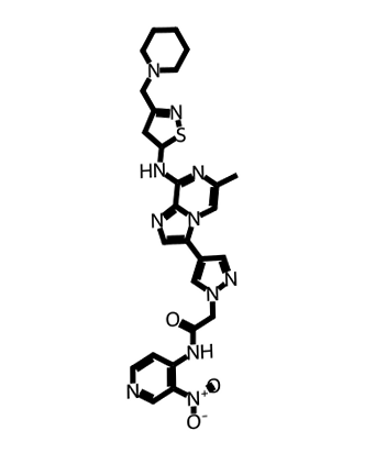 Cc1cn2c(-c3cnn(CC(=O)Nc4ccncc4[N+](=O)[O-])c3)cnc2c(NC2CC(CN3CCCCC3)=NS2)n1